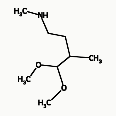 CNCCC(C)C(OC)OC